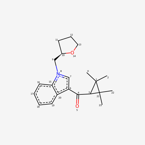 CC1(C)C(C(=O)c2cn(C[C@H]3CCCO3)c3ccccc23)C1(C)C